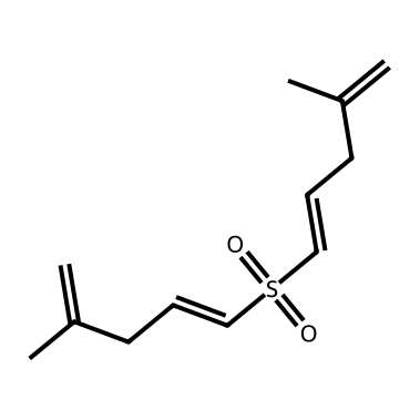 C=C(C)CC=CS(=O)(=O)C=CCC(=C)C